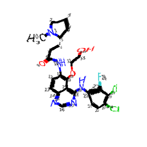 CN1CCC[C@@H]1/C=C/C(=O)Nc1ccc2ncnc(Nc3ccc(Cl)c(Cl)c3F)c2c1OCCO